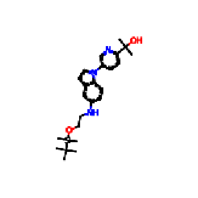 CC(C)(O)c1ccc(-n2ccc3cc(NCCO[Si](C)(C)C(C)(C)C)ccc32)cn1